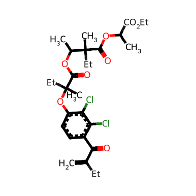 C=C(CC)C(=O)c1ccc(OC(C)(CC)C(=O)OC(C)C(C)(CC)C(=O)OC(C)C(=O)OCC)c(Cl)c1Cl